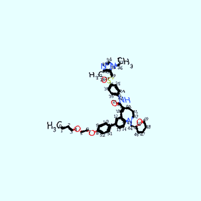 CCCCOCCOc1ccc(-c2ccc3c(c2)/C=C(/C(=O)Nc2ccc([S+]([O-])Cc4c(C)ncn4CC)cc2)CCCN3C[C@@H]2CCCCO2)cc1